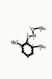 CC(C)(C)[O][Al][O]c1c(C(C)(C)C)cccc1C(C)(C)C